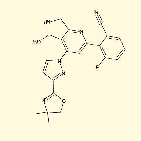 CC1(C)COC(c2ccn(-c3cc(-c4c(F)cccc4C#N)nc4c3C(O)NC4)n2)=N1